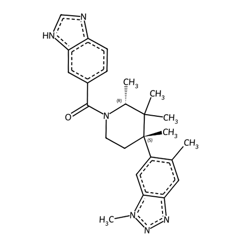 Cc1cc2nnn(C)c2cc1[C@]1(C)CCN(C(=O)c2ccc3nc[nH]c3c2)[C@H](C)C1(C)C